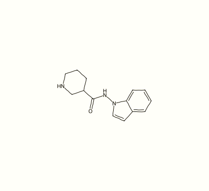 O=C(Nn1ccc2ccccc21)C1CCCNC1